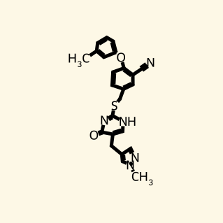 Cc1cccc(Oc2ccc(CSc3nc(=O)c(Cc4cnn(C)c4)c[nH]3)cc2C#N)c1